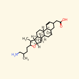 CC(CN)CCC1O[C@H]2C[C@H]3[C@@H]4CCC5CC(CC(=O)O)C=C[C@]5(C)[C@H]4CC[C@]3(C)[C@H]2[C@@H]1C